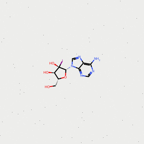 Nc1ncnc2c1ncn2[C@@H]1O[C@H](CO)[C@@H](O)[C@]1(O)I